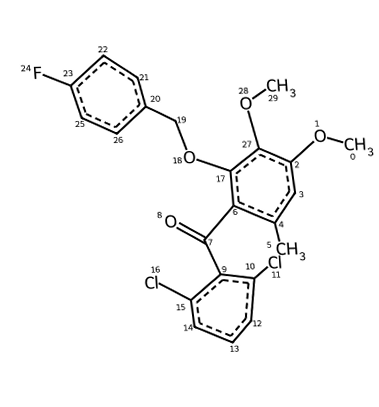 COc1cc(C)c(C(=O)c2c(Cl)cccc2Cl)c(OCc2ccc(F)cc2)c1OC